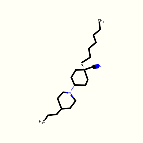 CCCCCCC[C@]1(C#N)CC[C@H](N2CCC(CCC)CC2)CC1